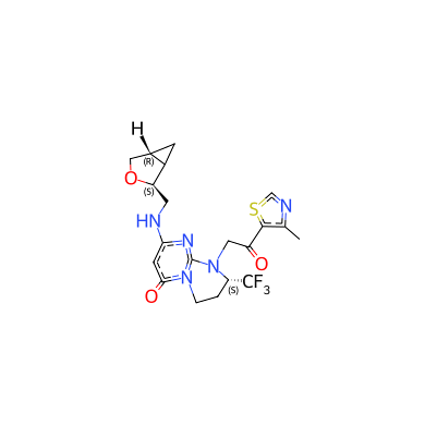 Cc1ncsc1C(=O)CN1c2nc(NC[C@H]3OC[C@@H]4CC43)cc(=O)n2CC[C@H]1C(F)(F)F